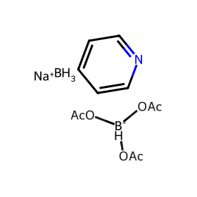 B.CC(=O)O[BH-](OC(C)=O)OC(C)=O.[Na+].c1ccncc1